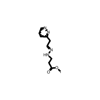 O=C(CCN/N=C/Cc1cccnn1)OI